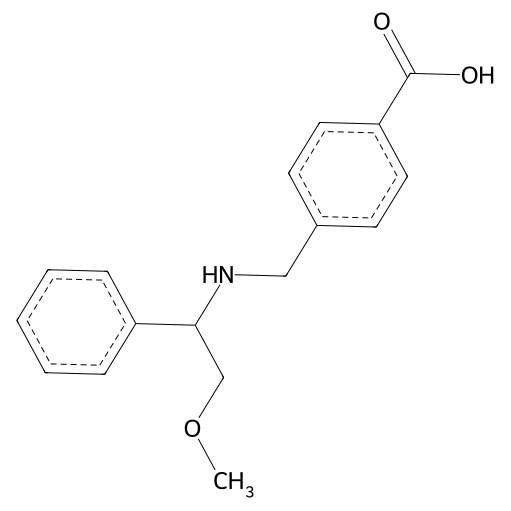 COCC(NCc1ccc(C(=O)O)cc1)c1ccccc1